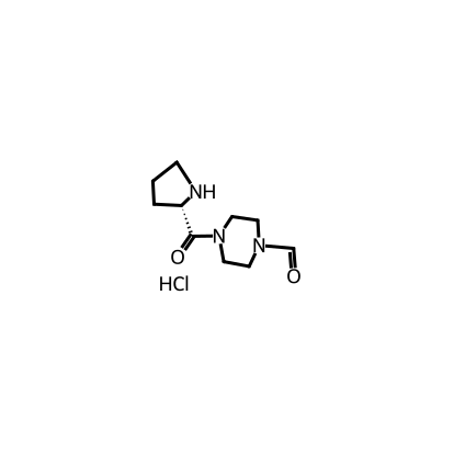 Cl.O=CN1CCN(C(=O)[C@@H]2CCCN2)CC1